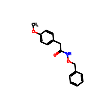 COc1ccc(CC(=O)NOCc2ccccc2)cc1